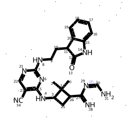 CC1(C)C(Nc2nc(NCCC3C(=O)Nc4ccccc43)ncc2C#N)CC1C(=N)/N=C\N